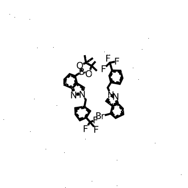 CC1(C)OB(c2cccc3nn(Cc4cccc(C(F)(F)F)c4)cc23)OC1(C)C.FC(F)(F)c1cccc(Cn2cc3c(Br)cccc3n2)c1